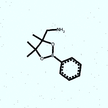 CC1(C)OB(c2ccccc2)OC1(C)CN